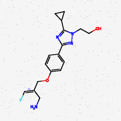 NC/C(=C\F)COc1ccc(-c2nc(C3CC3)n(CCO)n2)cc1